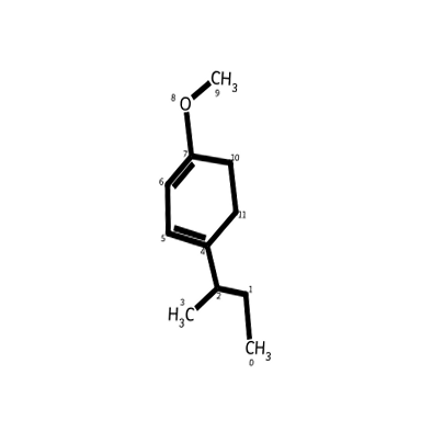 CCC(C)C1=CC=C(OC)CC1